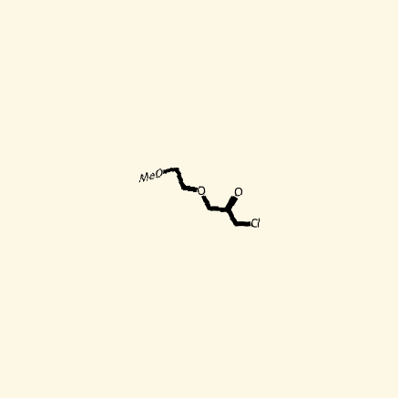 COCCOCC(=O)CCl